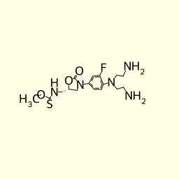 COC(=S)NC[C@H]1CN(c2ccc(N(CCN)CCN)c(F)c2)C(=O)O1